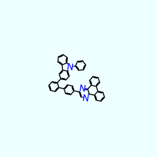 c1ccc(-n2c3ccccc3c3cc(-c4ccccc4-c4ccc(-c5cnc6c7ccccc7c7ccccc7c6n5)cc4)ccc32)cc1